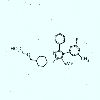 CSc1c(-c2cc(C)cc(F)c2)c(-c2ccccc2)nn1C[C@H]1CC[C@H](COCC(=O)O)CC1